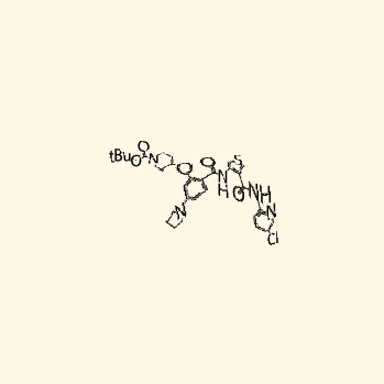 CC(C)(C)OC(=O)N1CCC(Oc2cc(N3CCCC3)ccc2C(=O)Nc2cscc2C(=O)Nc2ccc(Cl)cn2)CC1